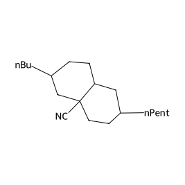 CCCCCC1CCC2(C#N)CC(CCCC)CCC2C1